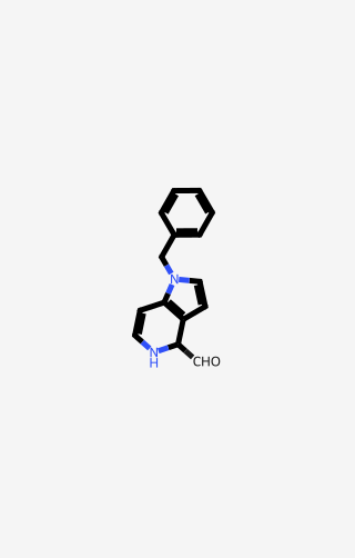 O=CC1NC=Cc2c1ccn2Cc1ccccc1